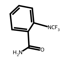 NC(=O)c1ccccc1NC(F)(F)F